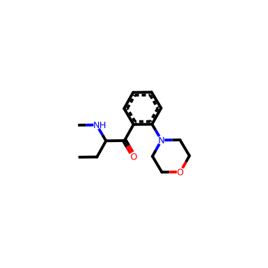 CCC(NC)C(=O)c1ccccc1N1CCOCC1